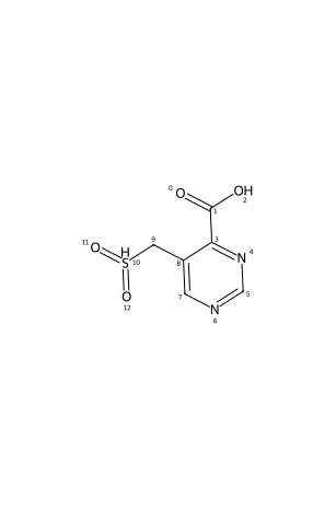 O=C(O)c1ncncc1C[SH](=O)=O